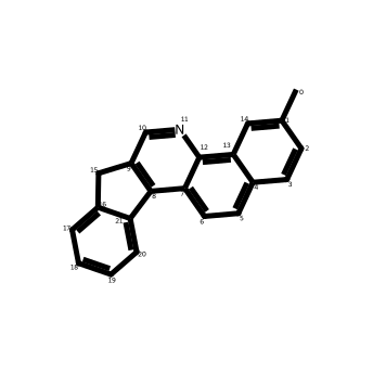 Cc1ccc2ccc3c4c(cnc3c2c1)Cc1ccccc1-4